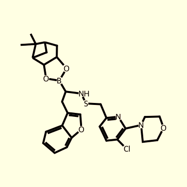 CC1(C)C2CC3OB(C(Cc4coc5ccccc45)NSCc4ccc(Cl)c(N5CCOCC5)n4)OC3C1C2